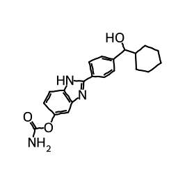 NC(=O)Oc1ccc2[nH]c(-c3ccc(C(O)C4CCCCC4)cc3)nc2c1